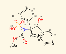 CC(C)(C)OC(=O)N([C@](C(=O)O)(c1ccccc1)C(O)c1ccccc1)P(=O)(O)O